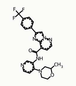 CC1CN(c2ccncc2NC(=O)c2ccnn3cc(-c4ccc(C(F)(F)F)cc4)nc23)CCO1